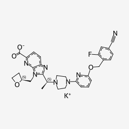 C[C@@H](c1nc2ccc(C(=O)[O-])nc2n1C[C@@H]1CCO1)N1CCN(c2cccc(OCc3ccc(C#N)cc3F)n2)CC1.[K+]